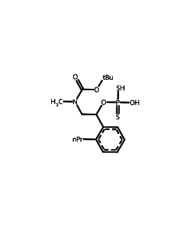 CCCc1ccccc1C(CN(C)C(=O)OC(C)(C)C)OP(O)(=S)S